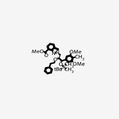 COC(=O)c1cccc2cn(C[C@H](OCCc3ccccc3)[C@H](O[Si](C)(C)C(C)(C)C)c3cc(OC)c(C)c(OC)c3)nc12